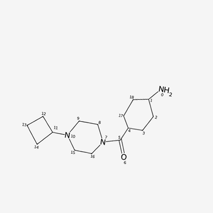 NC1CCC(C(=O)N2CCN(C3CCC3)CC2)CC1